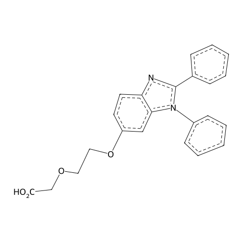 O=C(O)COCCOc1ccc2nc(-c3ccccc3)n(-c3ccccc3)c2c1